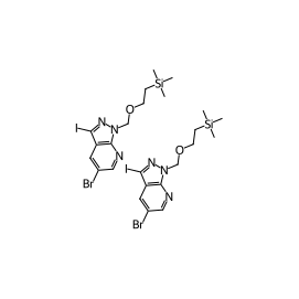 C[Si](C)(C)CCOCn1nc(I)c2cc(Br)cnc21.C[Si](C)(C)CCOCn1nc(I)c2cc(Br)cnc21